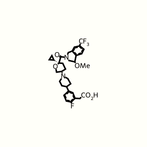 COC1CN(C(=O)[C@@]2(C3CC3)CC[C@@H](N3CCC(c4ccc(F)c(CC(=O)O)c4)CC3)CO2)Cc2cc(C(F)(F)F)ccc21